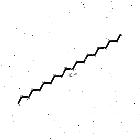 CCCCCCCCCCCCCCCCCCCC.Cl